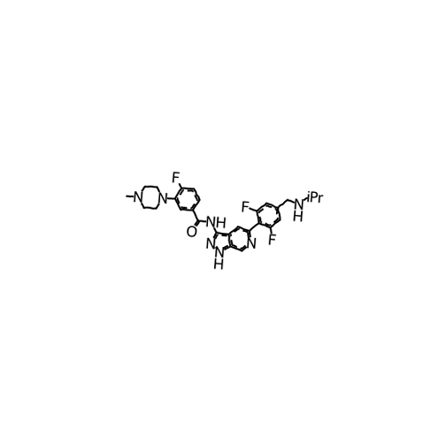 CC(C)NCc1cc(F)c(-c2cc3c(NC(=O)c4ccc(F)c(N5CCN(C)CC5)c4)n[nH]c3cn2)c(F)c1